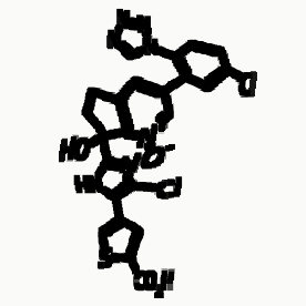 O=C(O)c1cc(-c2[nH]c(C3(O)CCc4cc(-c5cc(Cl)ccc5-n5cnnn5)c[n+]([O-])c43)nc2Cl)cs1